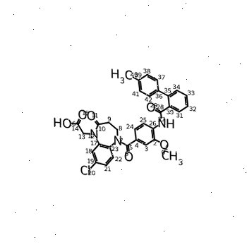 COc1cc(C(=O)N2CCC(=O)N(CC(=O)O)c3cc(Cl)ccc32)ccc1NC(=O)c1ccccc1-c1ccc(C)cc1